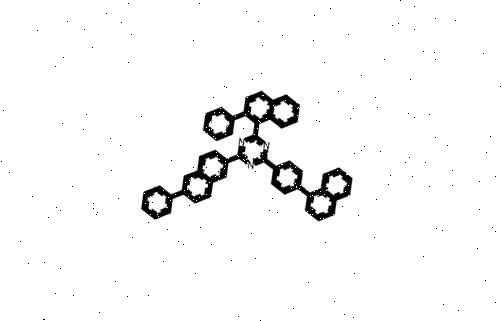 c1ccc(-c2ccc3cc(-c4nc(-c5ccc(-c6cccc7ccccc67)cc5)nc(-c5c(-c6ccccc6)ccc6ccccc56)n4)ccc3c2)cc1